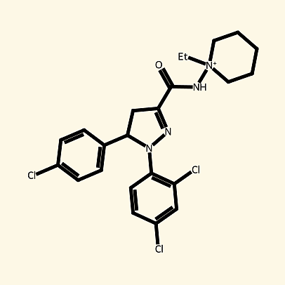 CC[N+]1(NC(=O)C2=NN(c3ccc(Cl)cc3Cl)C(c3ccc(Cl)cc3)C2)CCCCC1